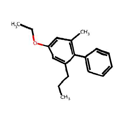 CCCc1cc(OCC)cc(C)c1-c1ccccc1